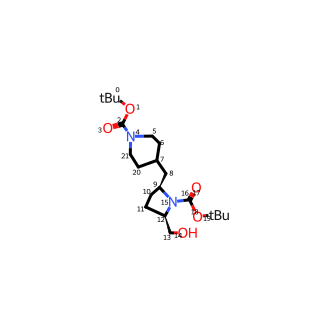 CC(C)(C)OC(=O)N1CCC(C[C@@H]2CC[C@H](CO)N2C(=O)OC(C)(C)C)CC1